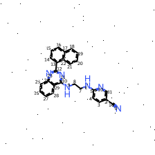 N#Cc1ccc(NCCNc2nc(-c3cccc4ccccc34)nc3ccccc23)nc1